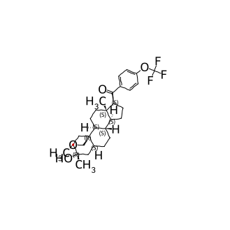 COC[C@]12CC[C@@](C)(O)C[C@@H]1CC[C@H]1[C@@H]3CC[C@H](C(=O)c4ccc(OC(F)(F)F)cc4)[C@@]3(C)CC[C@@H]12